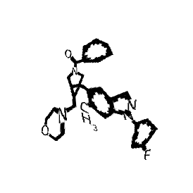 Cc1cc2c(cnn2-c2ccc(F)cc2)cc1C12CN(C(=O)c3ccccc3)CC1C2CN1CCOCC1